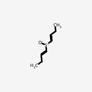 CCC=C[S+]([O-])C=CCC